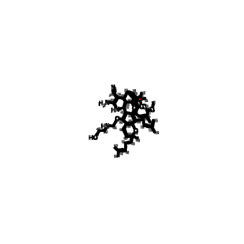 COC(=O)/C(C)=C\CC12OC(C)(C)C3CC(C1=O)C1C(C#N)=C(N)NC4=C1C32Oc1c(CC=C(C)C)c2c(c(OCNCCO)c14)C=CC(C)(CCC=C(C)C)O2